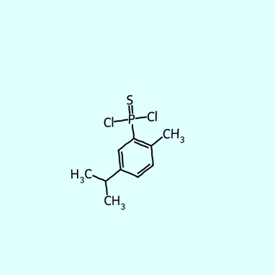 Cc1ccc(C(C)C)cc1P(=S)(Cl)Cl